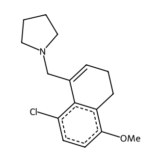 COc1ccc(Cl)c2c1CCC=C2CN1CCCC1